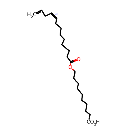 C=CC/C=C\CCCCCCCC(=O)OCCCCCCCCCC(=O)O